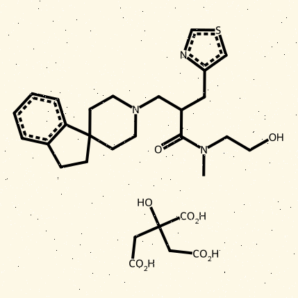 CN(CCO)C(=O)C(Cc1cscn1)CN1CCC2(CCc3ccccc32)CC1.O=C(O)CC(O)(CC(=O)O)C(=O)O